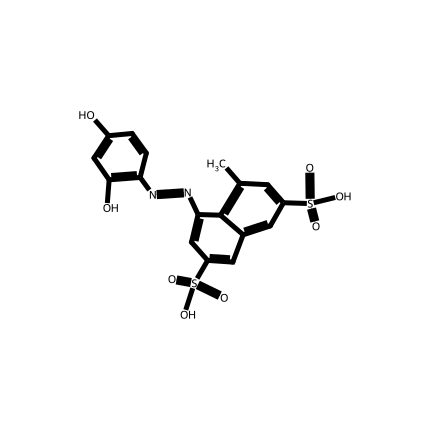 Cc1cc(S(=O)(=O)O)cc2cc(S(=O)(=O)O)cc(/N=N/c3ccc(O)cc3O)c12